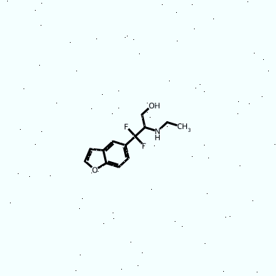 CCNC(CO)C(F)(F)c1ccc2occc2c1